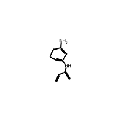 C=CC(=C)NC1=CCCC(N)=C1